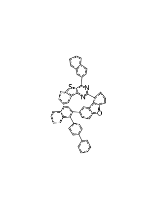 c1ccc(-c2ccc(-c3c(-c4ccc5oc6cccc(-c7nc(-c8ccc9ccccc9c8)c8sc9ccccc9c8n7)c6c5c4)ccc4ccccc34)cc2)cc1